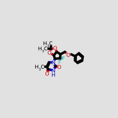 Cc1cn(C2C3OC(C)(C)OC3C(COCc3ccccc3)C2(F)F)c(=O)[nH]c1=O